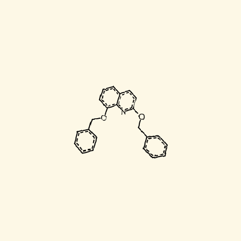 c1ccc(COc2ccc3cccc(OCc4ccccc4)c3n2)cc1